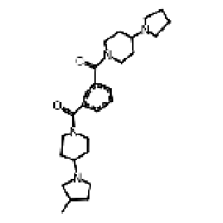 CC1CCN(C2CCN(C(=O)c3cccc(C(=O)N4CCC(N5CCCC5)CC4)c3)CC2)C1